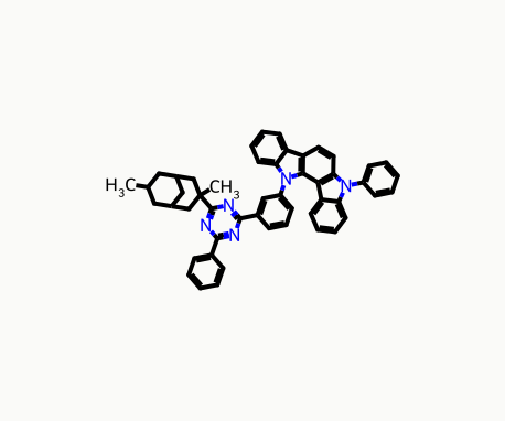 CC1CC2CC(C1)CC(C)(c1nc(-c3ccccc3)nc(-c3cccc(-n4c5ccccc5c5ccc6c(c7ccccc7n6-c6ccccc6)c54)c3)n1)C2